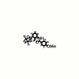 COc1ccc(C(=O)Nc2cccc(B3OC(C)(C)C(C)(C)O3)c2C)cc1